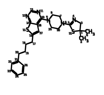 CC1(C)CN=C(N2CCN(c3ncnc4sc(CCCCc5ccccc5)cc34)CC2)S1